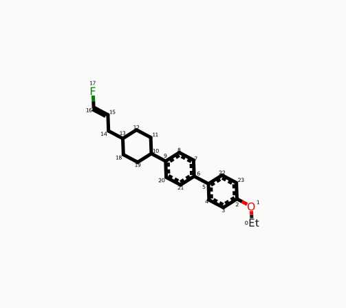 CCOc1ccc(-c2ccc(C3CCC(CC=CF)CC3)cc2)cc1